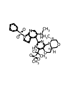 CNc1cnc2c(ccn2S(=O)(=O)c2ccccc2)c1-c1nc2c(c(C(C)(C)S(C)(=O)=O)n1)OC[C@@H]1COC[C@@H](C)N21